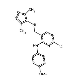 COc1ccc(Nc2nc(Cl)ncc2CNc2c(C)noc2C)nc1